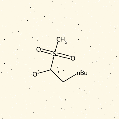 CCCCCC([O])S(C)(=O)=O